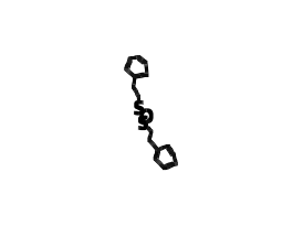 c1ccc(CCSOSCCc2ccccc2)cc1